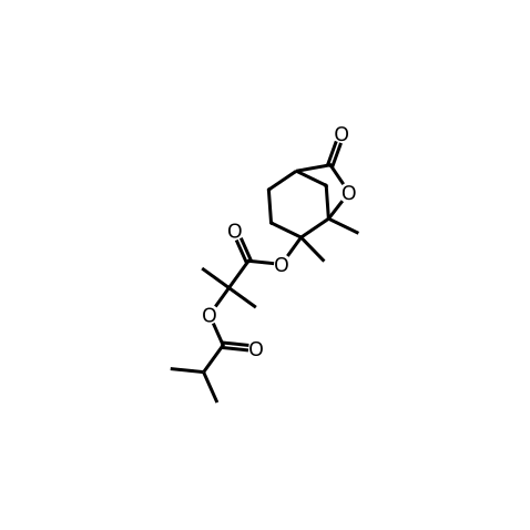 CC(C)C(=O)OC(C)(C)C(=O)OC1(C)CCC2CC1(C)OC2=O